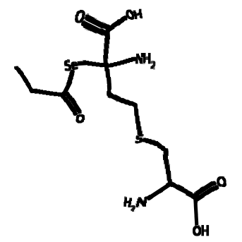 CCC(=O)[Se]C(N)(CCSCC(N)C(=O)O)C(=O)O